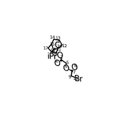 CC(C)C1(OC(=O)COC(=O)CBr)C2CC3CC(C2)CC1C3